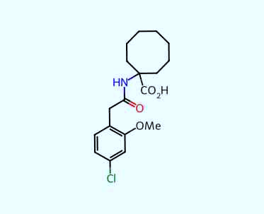 COc1cc(Cl)ccc1CC(=O)NC1(C(=O)O)CCCCCCC1